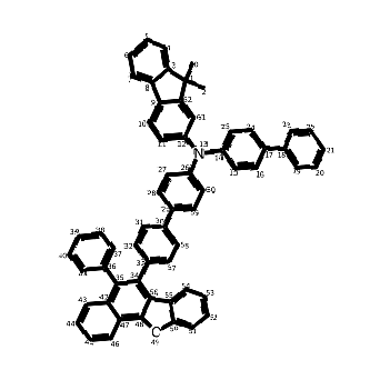 CC1(C)c2ccccc2-c2ccc(N(c3ccc(-c4ccccc4)cc3)c3ccc(-c4ccc(-c5c(-c6ccccc6)c6ccccc6c6oc7ccccc7c56)cc4)cc3)cc21